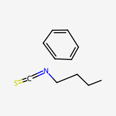 CCCCN=C=S.c1ccccc1